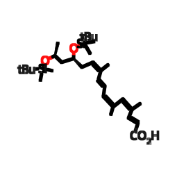 CC(=CC=CC(C)=CC[C@@H](C[C@H](C)O[Si](C)(C)C(C)(C)C)O[Si](C)(C)C(C)(C)C)C=C(C)C=CC(=O)O